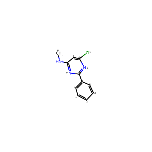 CNc1cc(Cl)nc(-c2ccccc2)n1